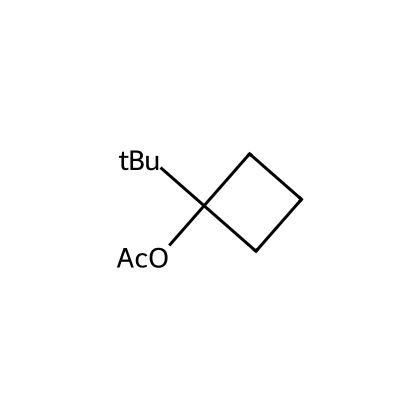 CC(=O)OC1(C(C)(C)C)CCC1